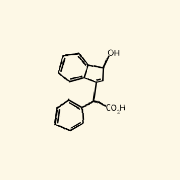 O=C(O)C(C1=CC(O)c2ccccc21)c1ccccc1